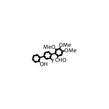 COc1cc(C=O)c(-c2ccc(-c3ccccc3O)cc2F)c(OC)c1OC